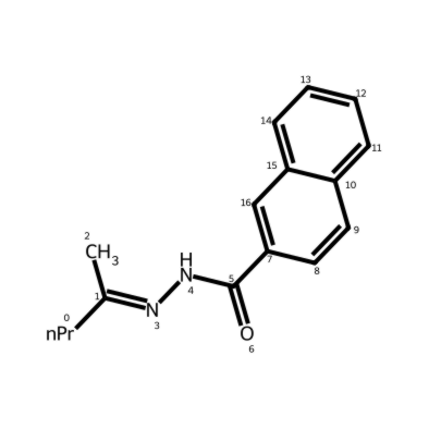 CCCC(C)=NNC(=O)c1ccc2ccccc2c1